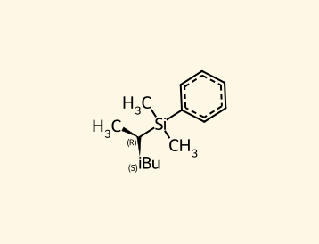 CC[C@H](C)[C@@H](C)[Si](C)(C)c1ccccc1